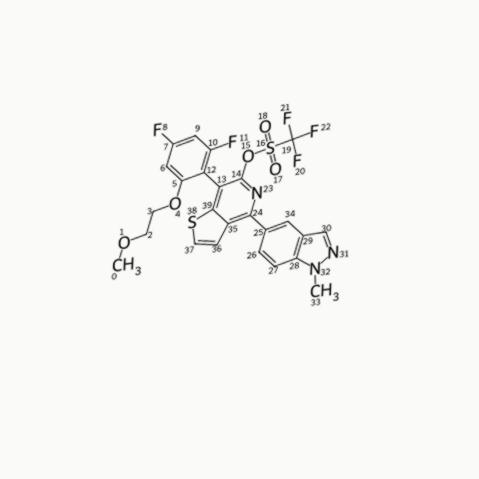 COCCOc1cc(F)cc(F)c1-c1c(OS(=O)(=O)C(F)(F)F)nc(-c2ccc3c(cnn3C)c2)c2ccsc12